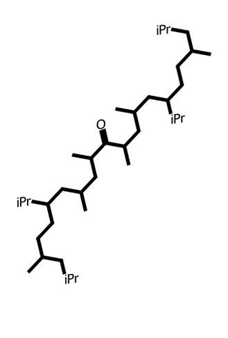 CC(C)CC(C)CCC(CC(C)CC(C)C(=O)C(C)CC(C)CC(CCC(C)CC(C)C)C(C)C)C(C)C